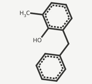 Cc1cccc(Cc2ccccc2)c1O